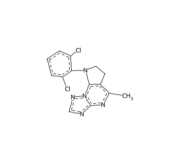 Cc1nc2ncnn2c2c1CCN2c1c(Cl)cccc1Cl